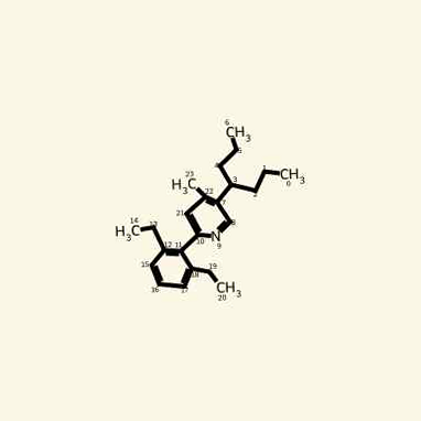 CCCC(CCC)c1cnc(-c2c(CC)cccc2CC)cc1C